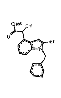 CCc1cc2c(C(O)C(=O)OC)cccc2n1Cc1ccccc1